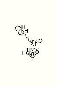 COC[C@@H](F)CN(CCCCC1C=CC2=C(NCCC2)N1)CC[C@H](Nc1ncc(C)c[n+]1O)C(C)=O